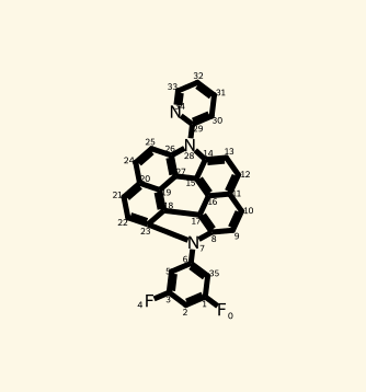 Fc1cc(F)cc(-n2c3ccc4ccc5c6c4c3c3c4c(ccc32)ccc(c46)n5-c2ccccn2)c1